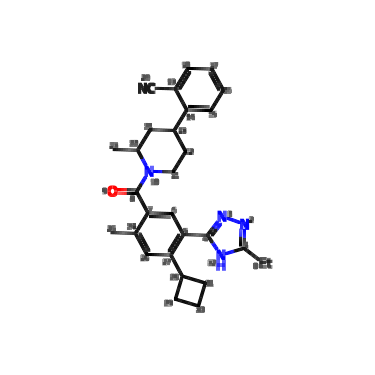 CCc1nnc(-c2cc(C(=O)N3CCC(c4ccccc4C#N)CC3C)c(C)cc2C2CCC2)[nH]1